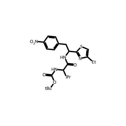 CCc1csc(C(Cc2ccc([N+](=O)[O-])cc2)NC(=O)C(NC(=O)OC(C)(C)C)C(C)C)n1